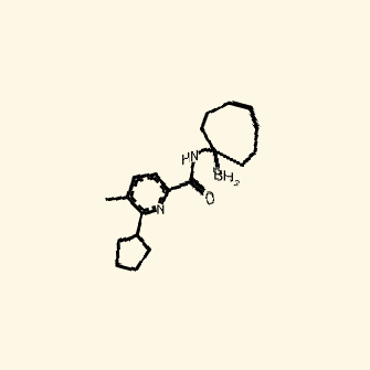 BC1(NC(=O)c2ccc(C)c(C3CCCC3)n2)CCCCCCC1